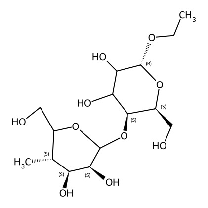 CCO[C@@H]1O[C@@H](CO)[C@@H](OC2OC(CO)[C@@H](C)[C@H](O)[C@@H]2O)C(O)C1O